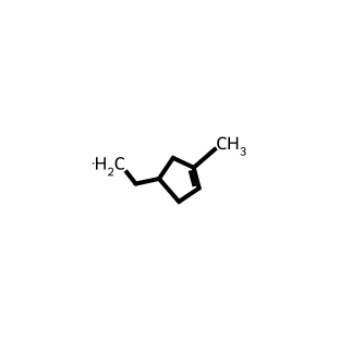 [CH2]CC1CC=C(C)C1